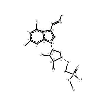 CCCP(=O)(CO[C@H]1C[C@@H](n2cc(/C=N/C)c3c(Cl)nc(C)nc32)[C@H](O)[C@@H]1O)OCC